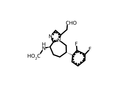 O=CCc1cnc2n1C[C@H](c1cccc(F)c1F)CC[C@H]2NC(=O)O